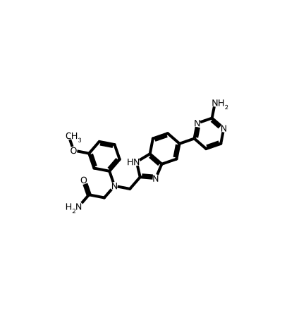 COc1cccc(N(CC(N)=O)Cc2nc3cc(-c4ccnc(N)n4)ccc3[nH]2)c1